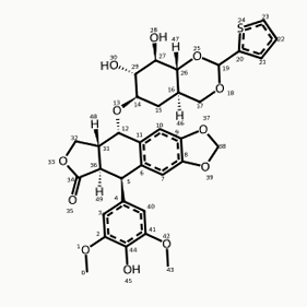 COc1cc([C@@H]2c3cc4c(cc3[C@@H](O[C@@H]3C[C@@H]5COC(c6cccs6)O[C@H]5[C@H](O)[C@H]3O)[C@H]3COC(=O)[C@H]23)OCO4)cc(OC)c1O